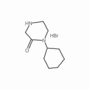 Br.O=C1CNCCN1C1CCCCC1